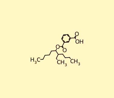 CCCCCC(OC(=O)c1cccc(C(=O)O)c1)C(CC)CCCC